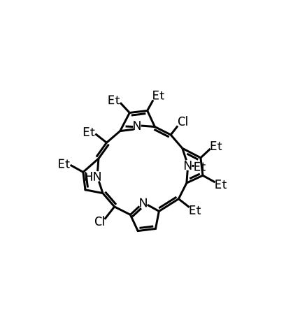 CCC1=C(CC)c2nc1c(CC)c1[nH]c(cc1CC)c(Cl)c1nc(c(CC)c3c(CC)c(CC)c(c2Cl)n3CC)C=C1